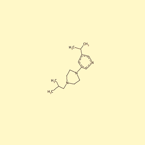 CC(C)CN1CCN(c2cncc(C(C)C)c2)CC1